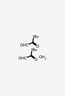 CC(C)(C)C(=O)C=O.CC(C)(C)C(=O)C=O.O